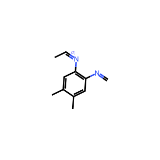 C=Nc1cc(C)c(C)cc1/N=C\C